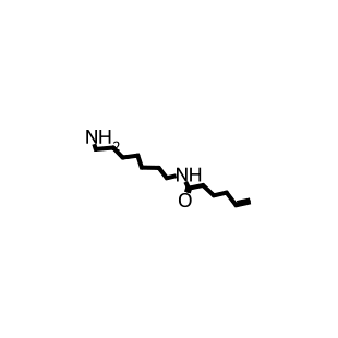 C=CCCCC(=O)NCCCCCCCN